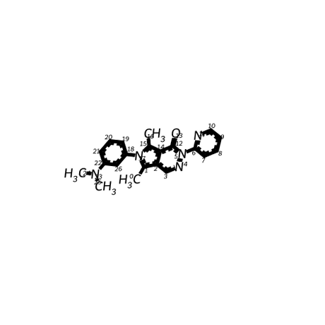 Cc1c2cnn(-c3ccccn3)c(=O)c2c(C)n1-c1cccc(N(C)C)c1